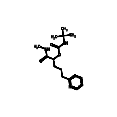 CNC(=O)[C@H](CCCc1ccccn1)OC(=O)NC(C)(C)C